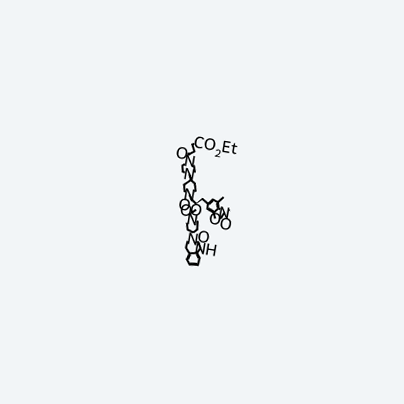 CCOC(=O)CCC(=O)N1CCN(C2CCN(C(=O)[C@@H](Cc3cc(C)c4c(c3)oc(=O)n4C)OC(=O)N3CCC(N4CCc5ccccc5NC4=O)CC3)CC2)CC1